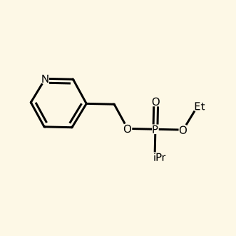 CCOP(=O)(OCc1cccnc1)C(C)C